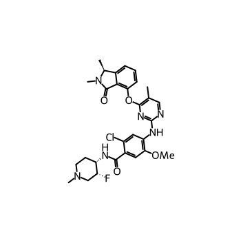 COc1cc(C(=O)N[C@H]2CCN(C)C[C@H]2F)c(Cl)cc1Nc1ncc(C)c(Oc2cccc3c2C(=O)N(C)[C@H]3C)n1